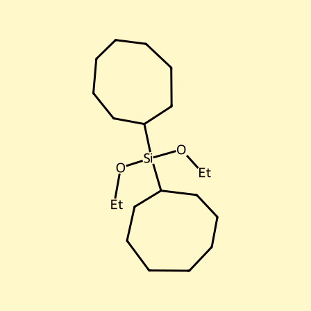 CCO[Si](OCC)(C1CCCCCCC1)C1CCCCCCC1